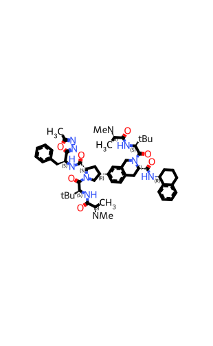 CN[C@@H](C)C(=O)N[C@H](C(=O)N1C[C@@H](c2ccc3c(c2)CN(C(=O)[C@@H](NC(=O)[C@H](C)NC)C(C)(C)C)[C@H](C(=O)N[C@@H]2CCCc4ccccc42)C3)C[C@H]1C(=O)N[C@@H](Cc1ccccc1)c1nnc(C)o1)C(C)(C)C